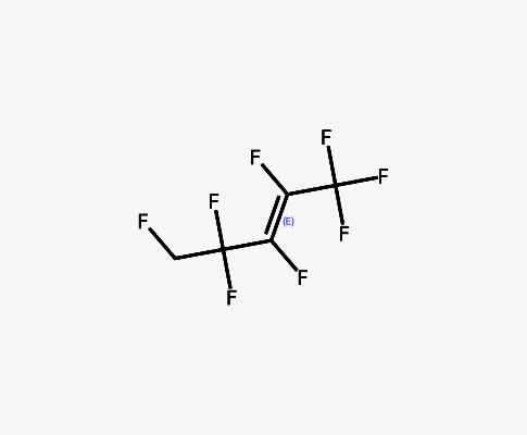 FCC(F)(F)/C(F)=C(\F)C(F)(F)F